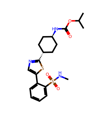 CNS(=O)(=O)c1ccccc1-c1cnc([C@H]2CC[C@H](NC(=O)OC(C)C)CC2)s1